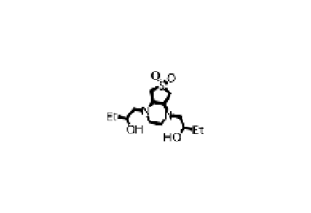 CCC(O)CN1CCN(CC(O)CC)C2CS(=O)(=O)CC21